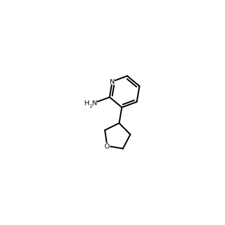 Nc1ncccc1C1CCOC1